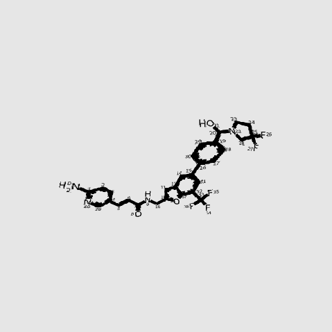 Nc1ccc(/C=C/C(=O)NCc2cc3cc(-c4ccc(C(O)N5CCC(F)(F)C5)cc4)cc(C(F)(F)F)c3o2)cn1